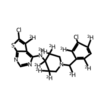 [2H]c1cc([2H])c(C([2H])N2CC([2H])([2H])C([2H])(N([2H])c3ncnc4sc(Cl)c([2H])c34)C([2H])([2H])C2)c([2H])c1Cl